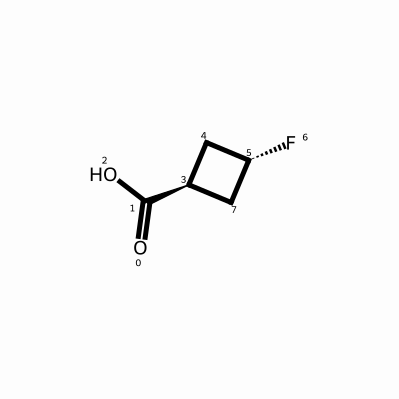 O=C(O)[C@H]1C[C@H](F)C1